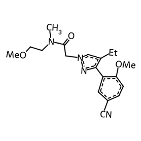 CCc1cn(CC(=O)N(C)CCOC)nc1-c1cc(C#N)ccc1OC